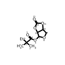 CCC(C)(C)C(=O)OC1OCC2OC(=O)OC21